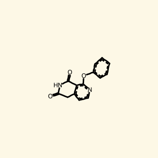 O=C1Cc2ccnc(Oc3ccccc3)c2C(=O)N1